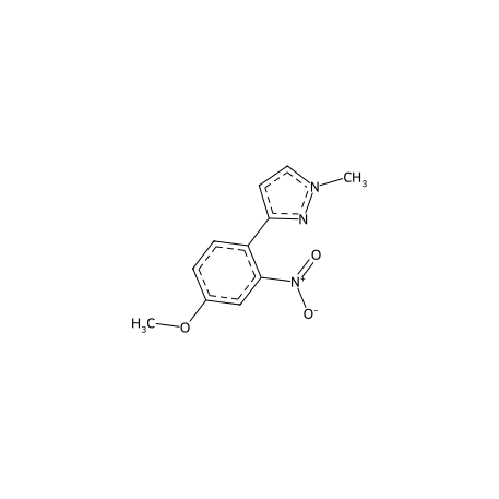 COc1ccc(-c2ccn(C)n2)c([N+](=O)[O-])c1